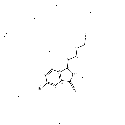 O=C1OC(CCCCF)c2ccc(Br)cc21